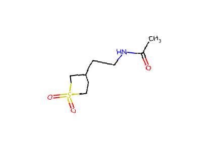 CC(=O)NCCC1CS(=O)(=O)C1